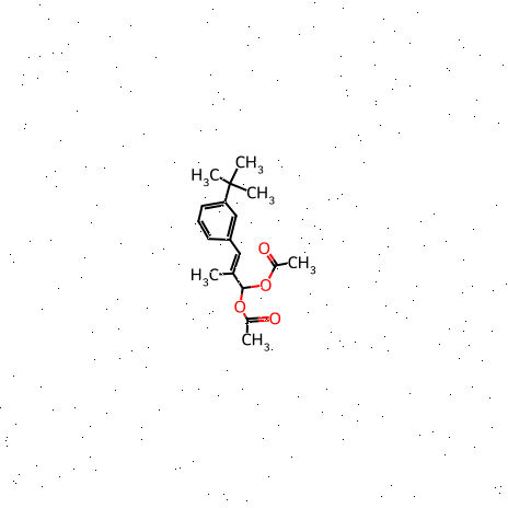 CC(=O)OC(OC(C)=O)/C(C)=C/c1cccc(C(C)(C)C)c1